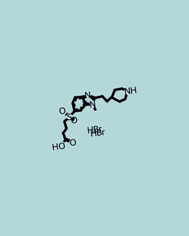 Br.Br.Cn1c(CCC2CCNCC2)nc2ccc(S(=O)(=O)CCCC(=O)O)cc21